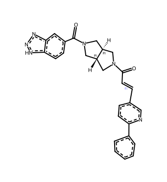 O=C(/C=C/c1ccc(-c2ccccc2)nc1)N1C[C@@H]2CN(C(=O)c3ccc4[nH]nnc4c3)C[C@H]2C1